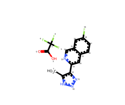 O=C(O)C(F)(F)F.O=C(O)c1[nH]nnc1-c1cc2ccc(F)cc2cn1